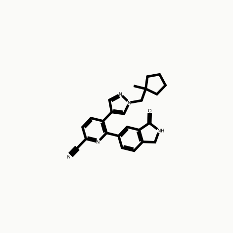 CC1(Cn2cc(-c3ccc(C#N)nc3-c3ccc4c(c3)C(=O)NC4)cn2)CCCC1